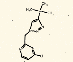 C[Si](C)(C)c1cn(Cc2nccc(Cl)n2)nn1